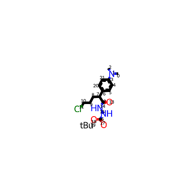 CN(C)c1ccc(C(CCCCl)C(=O)NNC(=O)OC(C)(C)C)cc1